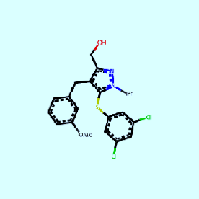 COc1cccc(Cc2c(CO)nn(C(C)C)c2Sc2cc(Cl)cc(Cl)c2)c1